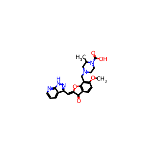 COc1ccc2c(c1CN1CCN(C(=O)O)C(C)C1)OC(=Cc1n[nH]c3ncccc13)C2=O